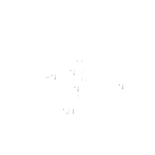 COc1ccccc1C(=O)NC(C(=NS(C)(=O)=O)NCCc1ccncc1)C1(c2ccccc2)CCNCC1